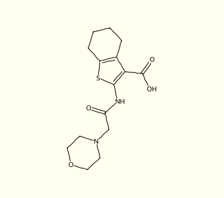 O=C(CN1CCOCC1)Nc1sc2c(c1C(=O)O)CCCC2